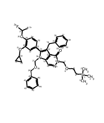 C[Si](C)(C)CCOCn1ncc2c(c(Cc3ccccc3)c(-c3ccc(OC(F)F)c(OC4CC4)c3)n2COCc2ccccc2)c1=O